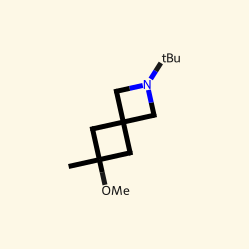 COC1(C)CC2(CN(C(C)(C)C)C2)C1